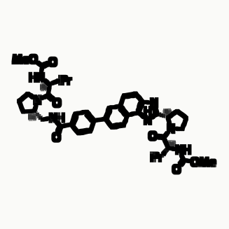 COC(=O)N[C@H](C(=O)N1CCC[C@H]1CNC(=O)c1ccc(-c2ccc3c(ccc4nc([C@@H]5CCCN5C(=O)[C@@H](NC(=O)OC)C(C)C)[nH]c43)c2)cc1)C(C)C